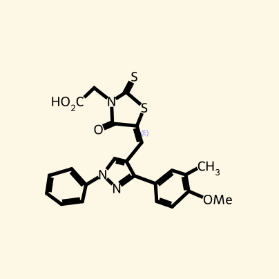 COc1ccc(-c2nn(-c3ccccc3)cc2/C=C2/SC(=S)N(CC(=O)O)C2=O)cc1C